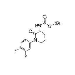 CC(C)(C)OC(=O)NC1CCCN(c2ccc(I)c(F)c2)C1=O